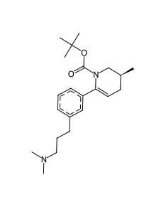 C[C@H]1CC=C(c2cccc(CCCN(C)C)c2)N(C(=O)OC(C)(C)C)C1